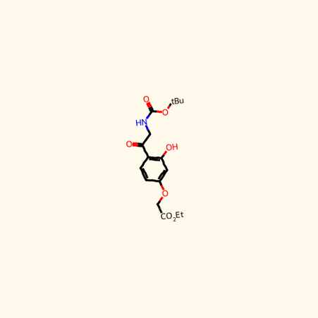 CCOC(=O)COc1ccc(C(=O)CNC(=O)OC(C)(C)C)c(O)c1